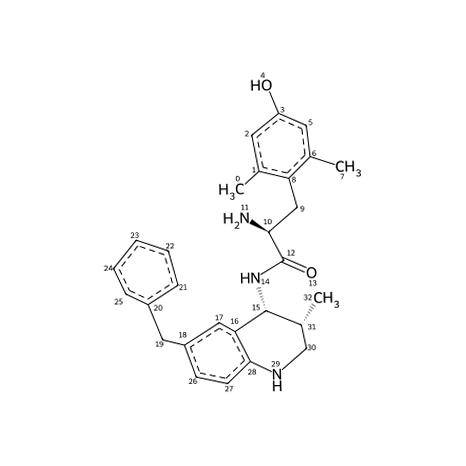 Cc1cc(O)cc(C)c1C[C@H](N)C(=O)N[C@H]1c2cc(Cc3ccccc3)ccc2NC[C@H]1C